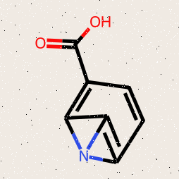 O=C(O)c1ccc2c3c1N23